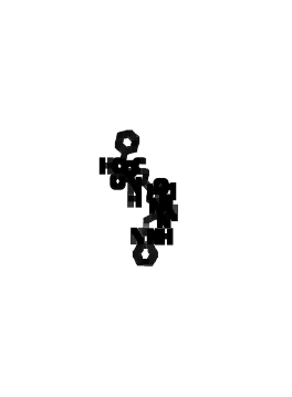 Cl.O=C(O)CC(NC(=O)OCc1ccccc1)C(=O)Cn1nnnc1Cc1nc2ccccc2[nH]1